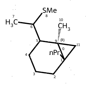 CCCC12CCCC(C(C)SC)[C@@]1(C)C2